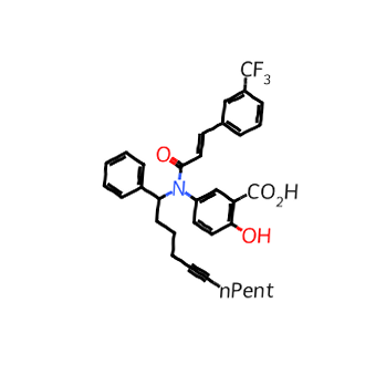 CCCCCC#CCCCC(c1ccccc1)N(C(=O)/C=C/c1cccc(C(F)(F)F)c1)c1ccc(O)c(C(=O)O)c1